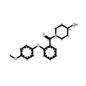 COc1ccc(Oc2ccccc2C(=O)N2CCC(O)CC2)cc1